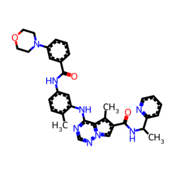 Cc1ccc(NC(=O)c2cccc(N3CCOCC3)c2)cc1Nc1ncnn2cc(C(=O)NC(C)c3ccccn3)c(C)c12